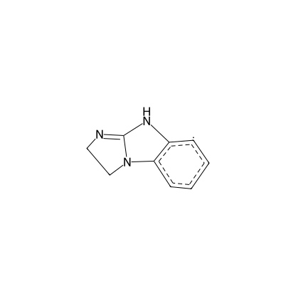 [c]1cccc2c1NC1=NCCN12